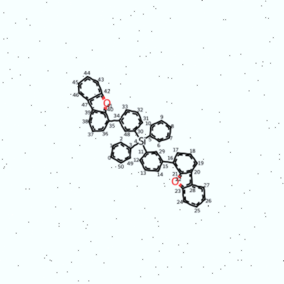 c1ccc([Si](c2ccccc2)(c2cccc(-c3cccc4c3oc3ccccc34)c2)c2cccc(-c3cccc4c3oc3ccccc34)c2)cc1